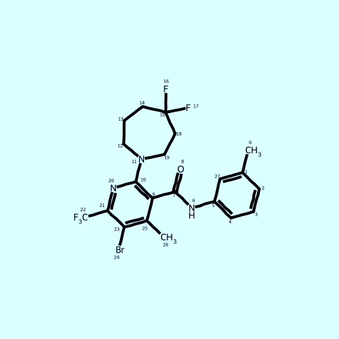 Cc1cccc(NC(=O)c2c(N3CCCC(F)(F)CC3)nc(C(F)(F)F)c(Br)c2C)c1